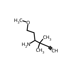 C#CC(C)(C)C(N)CCOC